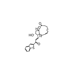 O=C1CCC/C=C\C[C@@H]2[C@@H](/C=C/C(=O)c3cc4ccccc4s3)[C@H](O)C[C@@H]2O1